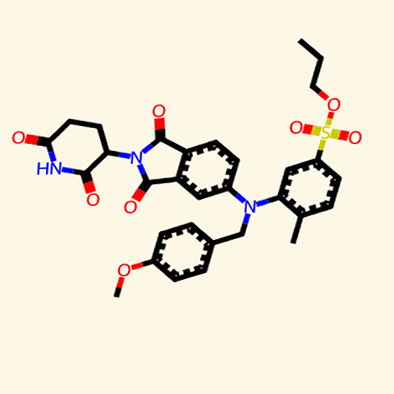 CCCOS(=O)(=O)c1ccc(C)c(N(Cc2ccc(OC)cc2)c2ccc3c(c2)C(=O)N(C2CCC(=O)NC2=O)C3=O)c1